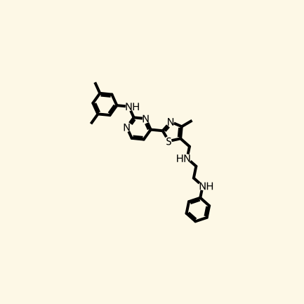 Cc1cc(C)cc(Nc2nccc(-c3nc(C)c(CNCCNc4ccccc4)s3)n2)c1